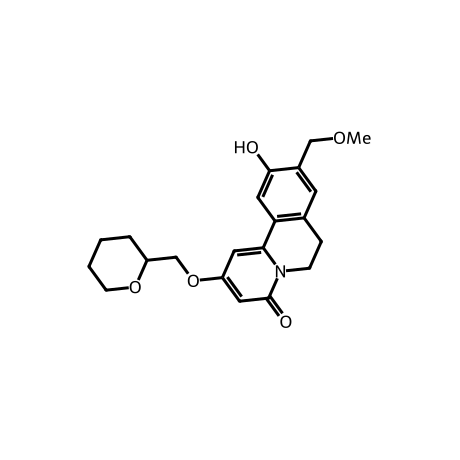 COCc1cc2c(cc1O)-c1cc(OCC3CCCCO3)cc(=O)n1CC2